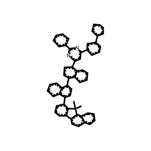 CC1(C)c2c(cccc2-c2ccc(-c3ccc(-c4cc(-c5cccc(-c6ccccc6)c5)nc(-c5ccccc5)n4)c4ccccc34)c3ccccc23)-c2ccc3ccccc3c21